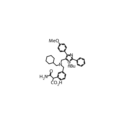 CCCCn1c(-c2ccccc2)nc(-c2ccc(OC)cc2)c1CN(Cc1cccc(C(C(N)=O)C(=O)O)c1)CC1CCCCC1